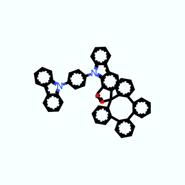 c1ccc2c(c1)-c1ccccc1-c1ccccc1C1(c3ccccc3-2)c2ccccc2-c2c1ccc1c3ccccc3n(-c3ccc(-n4c5ccccc5c5ccccc54)cc3)c21